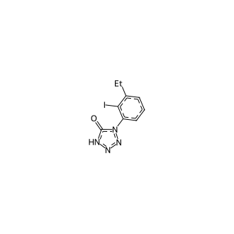 CCc1cccc(-n2nn[nH]c2=O)c1I